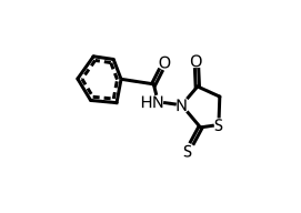 O=C(NN1C(=O)CSC1=S)c1ccccc1